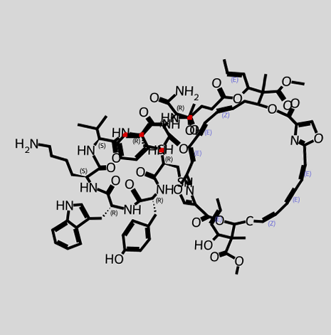 C/C=C/C(O)C(C)(C(=O)OC)C1C\C=C/C=C/C=C/c2nc(co2)C(=O)OC(C(C)(C(=O)OC)C(/C=C/C)OC(=O)CCC(=O)N[C@H](Cc2ccccc2)C(=O)N[C@@H](CS)C(=O)N[C@H](Cc2ccc(O)cc2)C(=O)N[C@H](Cc2c[nH]c3ccccc23)C(=O)N[C@@H](CCCCN)C(=O)N[C@H](C(=O)N[C@@H](CS)C(=O)N[C@@H](C(N)=O)C(C)O)C(C)C)C\C=C/C=C/C=C/c2nc(co2)C(=O)O1